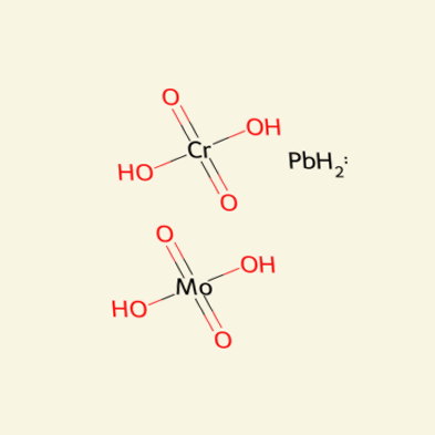 [O]=[Cr](=[O])([OH])[OH].[O]=[Mo](=[O])([OH])[OH].[PbH2]